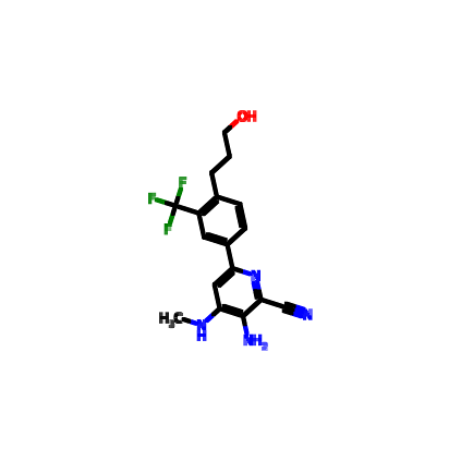 CNc1cc(-c2ccc(CCCO)c(C(F)(F)F)c2)nc(C#N)c1N